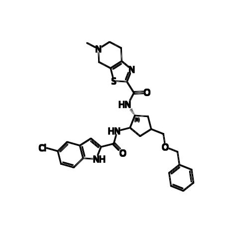 CN1CCc2nc(C(=O)N[C@@H]3CC(COCc4ccccc4)CC3NC(=O)c3cc4cc(Cl)ccc4[nH]3)sc2C1